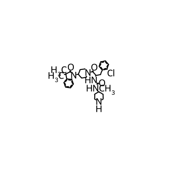 CC1(NC(=O)NC(Cc2ccccc2Cl)C(=O)N2CCC(N3C(=O)C(C)(C)c4ccccc43)CC2)CCNCC1